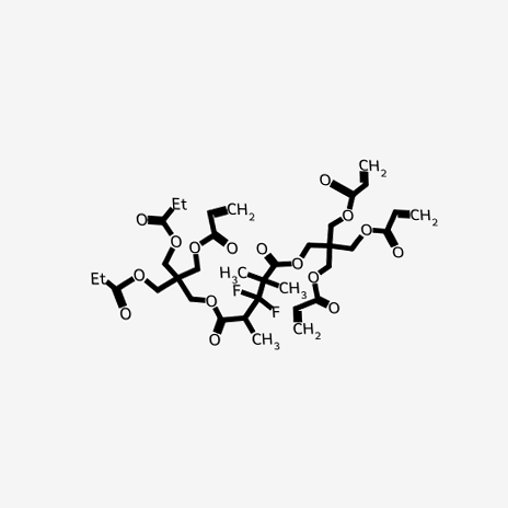 C=CC(=O)OCC(COC(=O)CC)(COC(=O)CC)COC(=O)C(C)C(F)(F)C(C)(C)C(=O)OCC(COC(=O)C=C)(COC(=O)C=C)COC(=O)C=C